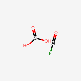 O=[Si](O)O.[O]=[Al][F]